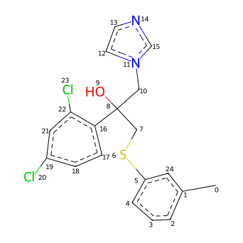 Cc1cccc(SCC(O)(Cn2ccnc2)c2ccc(Cl)cc2Cl)c1